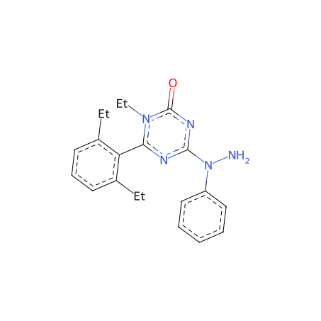 CCc1cccc(CC)c1-c1nc(N(N)c2ccccc2)nc(=O)n1CC